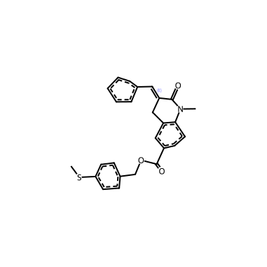 CSc1ccc(COC(=O)c2ccc3c(c2)C/C(=C\c2ccccc2)C(=O)N3C)cc1